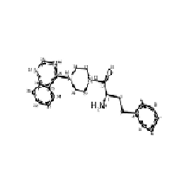 N[C@H](CCc1ccccc1)C(=O)N1CCN(c2ncnc3ccccc23)CC1